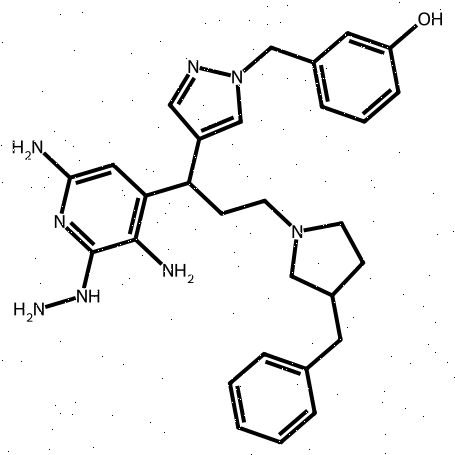 NNc1nc(N)cc(C(CCN2CCC(Cc3ccccc3)C2)c2cnn(Cc3cccc(O)c3)c2)c1N